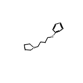 c1ccc(SCCCCN2CCCC2)cc1